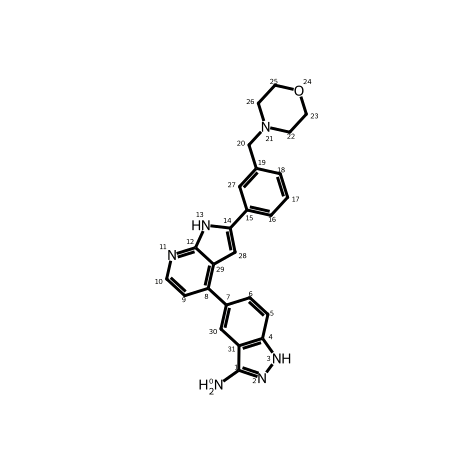 Nc1n[nH]c2ccc(-c3ccnc4[nH]c(-c5cccc(CN6CCOCC6)c5)cc34)cc12